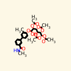 CNC(=O)c1cccc(-c2ccc(OC(O)C(OC(C)=O)C(OC(C)=O)C(CCOC(C)=O)OC(C)=O)c(C)c2)c1